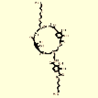 COCCOCCOCCN1CCNC(=O)c2ccc(c(O)c2O)C(=O)NCCN(CCNC(=O)c2ccc(C(=O)NCCCCCN)c(O)c2O)CCNC(=O)c2ccc(c(O)c2O)C(=O)NCC1